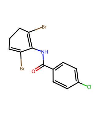 O=C(NC1=C(Br)CCC=C1Br)c1ccc(Cl)cc1